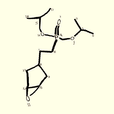 CC(C)OP(=O)(CCC1CC2OC2C1)OC(C)C